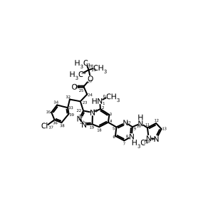 CNc1cc(-c2ccnc(Nc3ccnn3C)n2)cc2nnc(C(CC(=O)OC(C)(C)C)Cc3ccc(Cl)cc3)n12